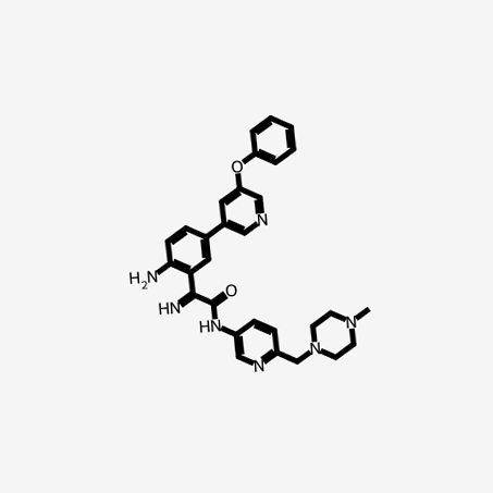 CN1CCN(Cc2ccc(NC(=O)C(=N)c3cc(-c4cncc(Oc5ccccc5)c4)ccc3N)cn2)CC1